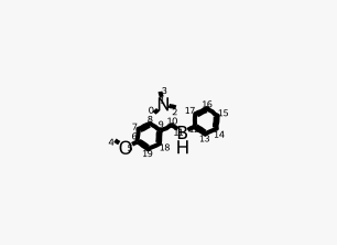 CN(C)C.COc1ccc(CBc2ccccc2)cc1